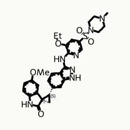 CCOc1cc(S(=O)(=O)N2CCN(C)CC2)cnc1Nc1n[nH]c2cc([C@@H]3C[C@@]34C(=O)Nc3ccc(OC)cc34)ccc12